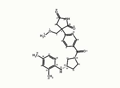 COCC1(c2ccc(C(=O)N3CC[C@H](Nc4ncc(C)cc4C)C3)cn2)CC(=O)NC1=O